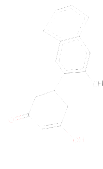 Cc1cc2ccccc2cc1C1CC(=O)C=C(O)C1